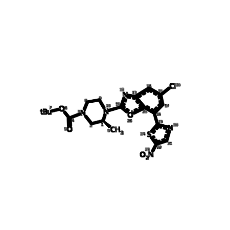 C[C@H]1CN(C(=O)OC(C)(C)C)CCN1c1nc2cc(Cl)cc(-c3ncc([N+](=O)[O-])s3)c2o1